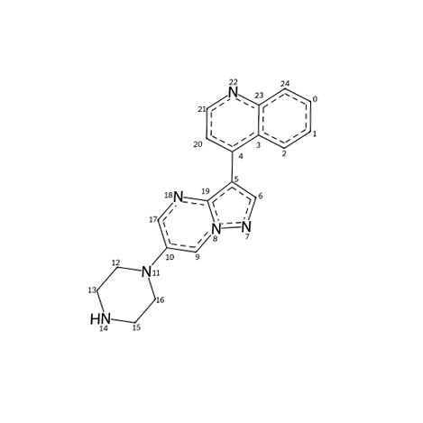 c1ccc2c(-c3cnn4cc(N5CCNCC5)cnc34)ccnc2c1